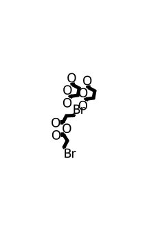 O=C(CCBr)OC(=O)CCBr.O=C1CCC(=O)O1.O=C1CCC(=O)O1